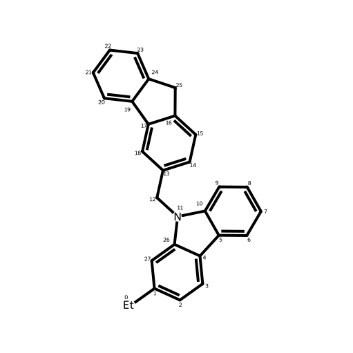 CCc1ccc2c3ccccc3n(Cc3ccc4c(c3)-c3ccccc3C4)c2c1